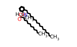 CCCCCCCCCCCC(=O)O.CCCCCCCCCCCCCCCC(Cc1ccccc1)N(C)C